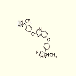 CN1NC1(c1ccc(Oc2ccc3ncc(Oc4ccc(C5(C(F)(F)F)NN5)cc4)nc3c2)cc1)C(F)(F)F